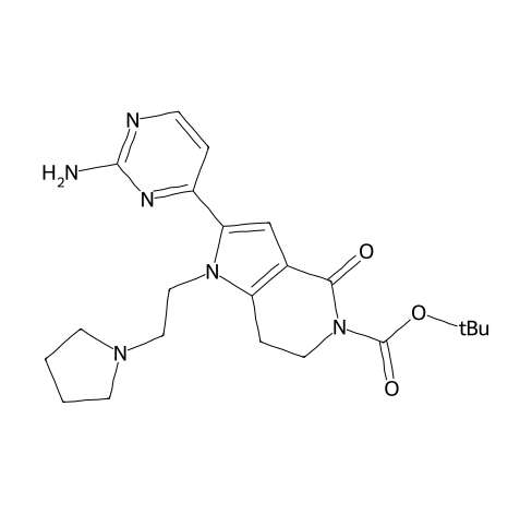 CC(C)(C)OC(=O)N1CCc2c(cc(-c3ccnc(N)n3)n2CCN2CCCC2)C1=O